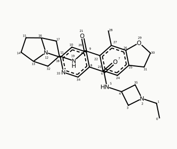 CCN1CC(NC(=O)c2ccc(N3C4CCC3CC(NC(=O)c3ccc5c(c3C)OCC5)C4)nc2)C1